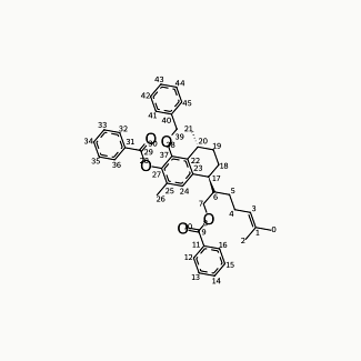 CC(C)=CCCC(COC(=O)c1ccccc1)[C@@H]1CC[C@@H](C)c2c1cc(C)c(OC(=O)c1ccccc1)c2OCc1ccccc1